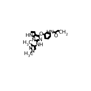 C=CC(=O)Nc1cccc(Oc2nc(Nc3cn(C)nc3C)nc3[nH]ccc23)c1